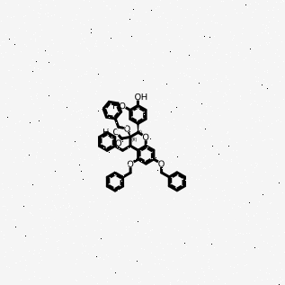 CC(=O)[C@@]1(OCc2ccccc2)C(Cc2ccccc2)c2c(OCc3ccccc3)cc(OCc3ccccc3)cc2O[C@@H]1c1ccc(O)c(O)c1